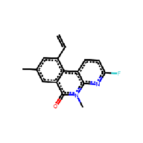 C=Cc1cc(C)cc2c(=O)n(C)c3nc(F)ccc3c12